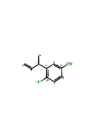 [CH2]C(C=C)c1cc(Br)ccc1F